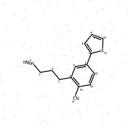 CCCCCCCCCCCCc1cc(-c2cccs2)ccc1C#N